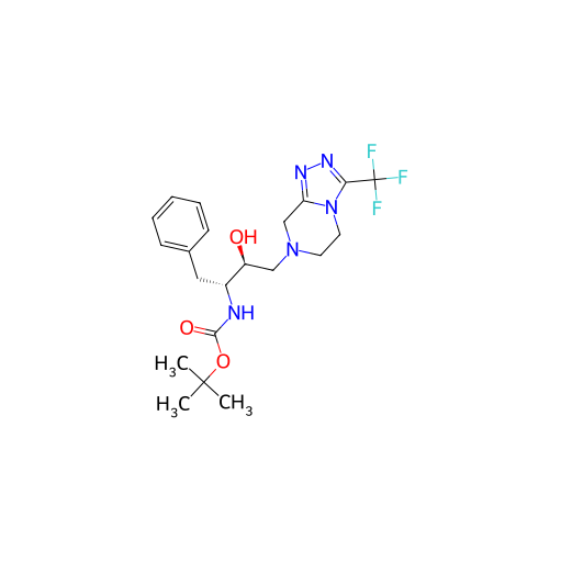 CC(C)(C)OC(=O)N[C@H](Cc1ccccc1)[C@@H](O)CN1CCn2c(nnc2C(F)(F)F)C1